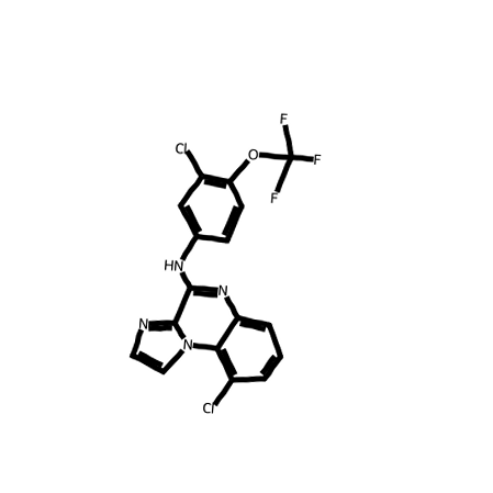 FC(F)(F)Oc1ccc(Nc2nc3cccc(Cl)c3n3ccnc23)cc1Cl